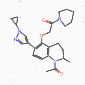 CC(=O)N1c2ccc(-c3cnn(C4CC4)c3)c(OCC(=O)N3CCCCC3)c2CCC1C